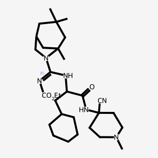 CCOC(=O)/N=C(\NC(CC1CCCCC1)C(=O)NC1(C#N)CCN(C)CC1)N1CC2CC(C)(C)CC1(C)C2